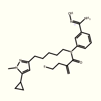 C=C(CCF)C(=O)N(CCCCCc1cc(C2CC2)n(C)n1)c1cccc(/C(N)=N/O)c1